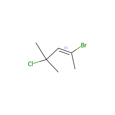 C/C(Br)=C\C(C)(C)Cl